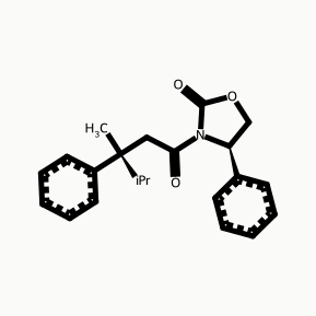 CC(C)[C@@](C)(CC(=O)N1C(=O)OC[C@H]1c1ccccc1)c1ccccc1